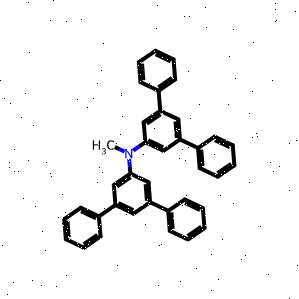 CN(c1cc(-c2ccccc2)cc(-c2ccccc2)c1)c1cc(-c2ccccc2)cc(-c2ccccc2)c1